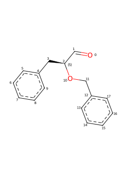 O=C[C@H](Cc1ccccc1)OCc1ccccc1